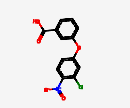 O=C(O)c1cccc(Oc2ccc([N+](=O)[O-])c(Cl)c2)c1